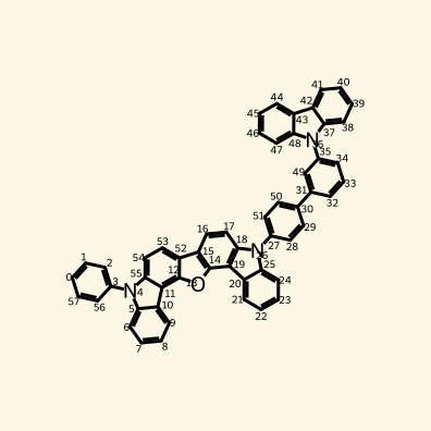 c1ccc(-n2c3ccccc3c3c4oc5c(ccc6c5c5ccccc5n6-c5ccc(-c6cccc(-n7c8ccccc8c8ccccc87)c6)cc5)c4ccc32)cc1